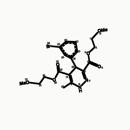 COCCOC(=O)C1=NNC(C)=C(C(=O)OCCOC)C1c1cccc(Br)c1